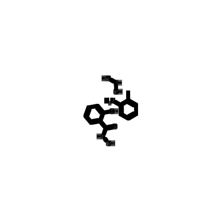 Cc1ccccc1N.O=C(NO)c1ccccc1O.OBO